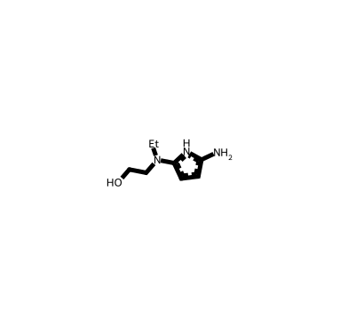 CCN(CCO)c1ccc(N)[nH]1